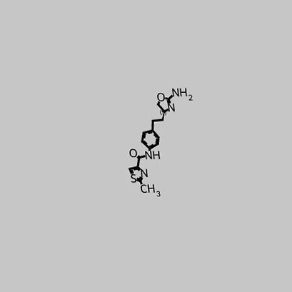 Cc1nc(C(=O)Nc2ccc(CC[C@H]3COC(N)=N3)cc2)cs1